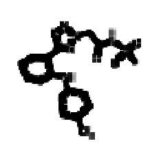 CS(=O)(=O)NC(=O)Cn1nnc(-c2ccccc2Nc2ccc(C(F)(F)F)cc2)n1